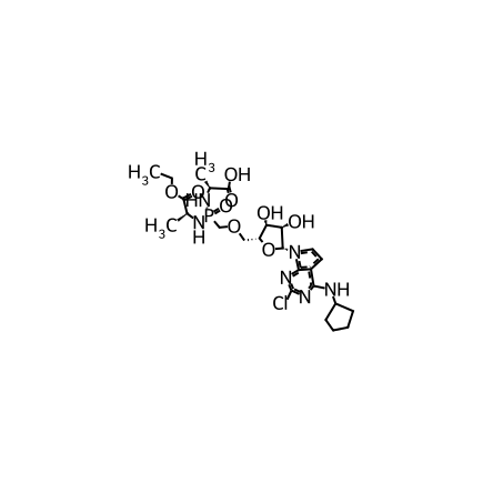 CCOC(=O)[C@H](C)NP(=O)(COC[C@H]1O[C@@H](n2ccc3c(NC4CCCC4)nc(Cl)nc32)[C@H](O)[C@@H]1O)N[C@@H](C)C(=O)O